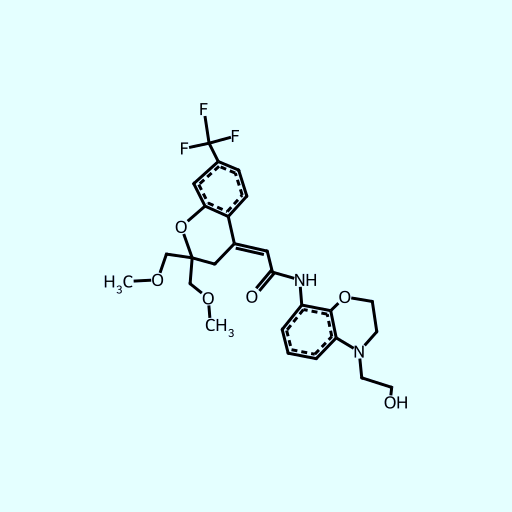 COCC1(COC)CC(=CC(=O)Nc2cccc3c2OCCN3CCO)c2ccc(C(F)(F)F)cc2O1